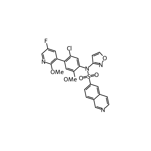 COc1cc(-c2cc(F)cnc2OC)c(Cl)cc1N(c1ccon1)S(=O)(=O)c1ccc2cnccc2c1